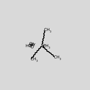 CCCCCCCCCCCC[N+](C)(CCCCCCCCCCCC)CCCCCCCCCCCC.[O-][Cl+3]([O-])([O-])O